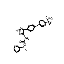 C[C@@H](OC(=O)Nc1n[nH]nc1-c1ccc(-c2ccc(C3(C=O)CC3)cc2)cc1)c1ccccc1